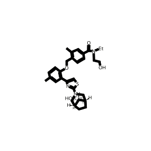 CCN(CCO)C(=O)c1ccc(COc2ccc(C)cc2-c2csc(N3C[C@H]4CC[C@@H](C3)[C@H]4C(=O)O)n2)c(C)c1